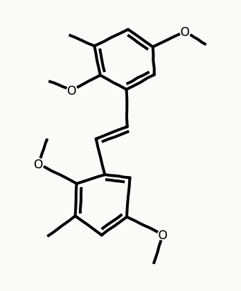 COc1cc(C)c(OC)c(/C=C/c2cc(OC)cc(C)c2OC)c1